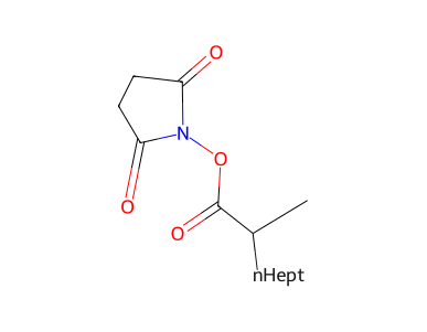 CCCCCCCC(C)C(=O)ON1C(=O)CCC1=O